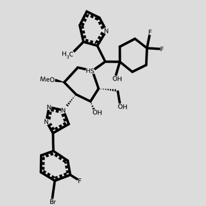 CO[C@H]1C[SH](C(c2ncccc2C)C2(O)CCC(F)(F)CC2)[C@H](CO)[C@H](O)[C@@H]1n1cc(-c2ccc(Br)c(F)c2)nn1